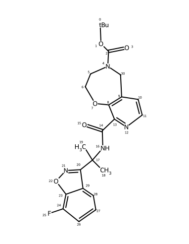 CC(C)(C)OC(=O)N1CCOc2c(ccnc2C(=O)NC(C)(C)c2noc3c(F)cccc23)C1